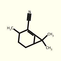 CC1CCC2C(=C1C#N)C2(C)C